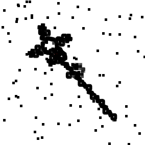 COCCOCCOCCOCCOCCOCCNC(=O)C(N)CCCc1ccc(CC2CN(CC(=O)OC(C)(C)C)CCN(CC(=O)OC(C)(C)C)CCN(CC(=O)OC(C)(C)C)CCN2CC(=O)OC(C)(C)C)cc1